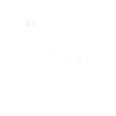 Cc1cccc(CSCCC(C)C)c1O